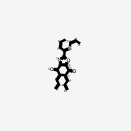 C=C/C=C1/C(=O)c2nc(C(/C=C\C)=N/C=C\C)oc2C(=O)/C1=C/C=C